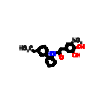 O=C(O)Cc1cccc(-c2ccccc2NC(=O)Cc2cc(O)c(O)c([N+](=O)[O-])c2)c1